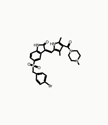 Cc1[nH]c(/C=C2\C(=O)Nc3ccc(S(=O)(=O)Cc4ccc(Br)cc4)cc32)c(C)c1C(=O)N1CCN(C)CC1